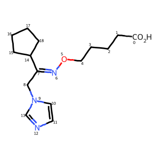 O=C(O)CCCCON=C(Cn1ccnc1)C1CCCC1